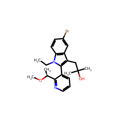 CCn1c(-c2cccnc2[C@H](C)OC)c(CC(C)(C)O)c2cc(Br)ccc21